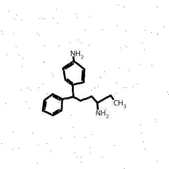 CCC(N)CCC(c1ccccc1)c1ccc(N)cc1